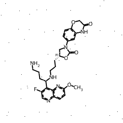 COc1ccc2ncc(F)c(C(CCCN)NCCC[C@@H]3CN(c4ccc5c(c4)NC(=O)CO5)C(=O)O3)c2n1